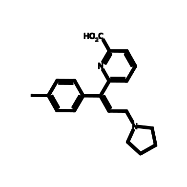 Cc1ccc(C(=CCN2CCCC2)c2cccc(C(=O)O)n2)cc1